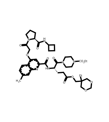 CCOC(=O)N1CCN(C(=O)[C@H](CCC(=O)OCC2(CC)COCOC2)NC(=O)c2cc(OCC(=O)N3CCC[C@H]3C(=O)NC3CCC3)c3ccc(C)cc3n2)CC1